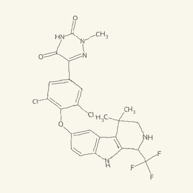 Cn1nc(-c2cc(Cl)c(Oc3ccc4[nH]c5c(c4c3)C(C)(C)CNC5C(F)(F)F)c(Cl)c2)c(=O)[nH]c1=O